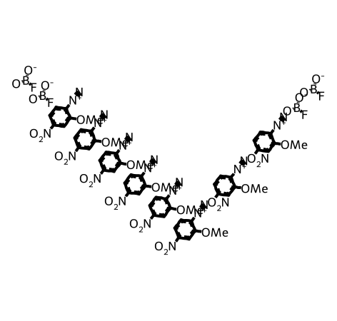 COc1cc([N+](=O)[O-])ccc1[N+]#N.COc1cc([N+](=O)[O-])ccc1[N+]#N.COc1cc([N+](=O)[O-])ccc1[N+]#N.COc1cc([N+](=O)[O-])ccc1[N+]#N.COc1cc([N+](=O)[O-])ccc1[N+]#N.COc1cc([N+](=O)[O-])ccc1[N+]#N.COc1cc([N+](=O)[O-])ccc1[N+]#N.COc1cc([N+](=O)[O-])ccc1[N+]#N.[O-]B([O-])F.[O-]B([O-])F.[O-]B([O-])F.[O-]B([O-])F